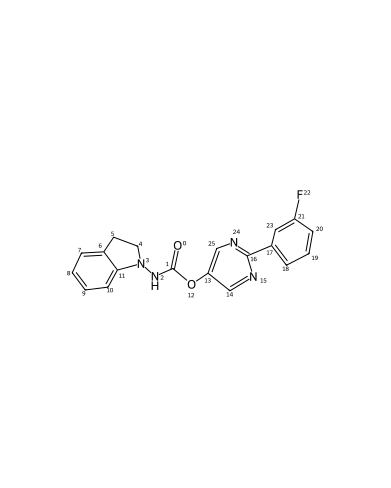 O=C(NN1CCc2ccccc21)Oc1cnc(-c2cccc(F)c2)nc1